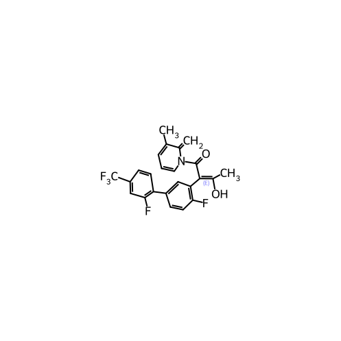 C=C1C(C)=CC=CN1C(=O)/C(=C(\C)O)c1cc(-c2ccc(C(F)(F)F)cc2F)ccc1F